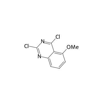 COc1cccc2nc(Cl)nc(Cl)c12